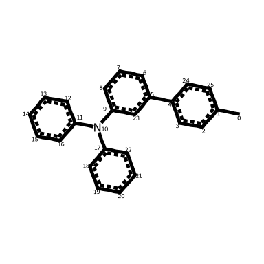 Cc1ccc(-c2cccc(N(c3ccccc3)c3ccccc3)c2)cc1